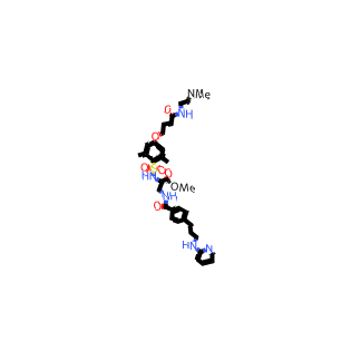 CNCCNC(=O)CCCOc1cc(C)c(S(=O)(=O)NC(CNC(=O)c2ccc(CCCNc3ccccn3)cc2)C(=O)OC)c(C)c1